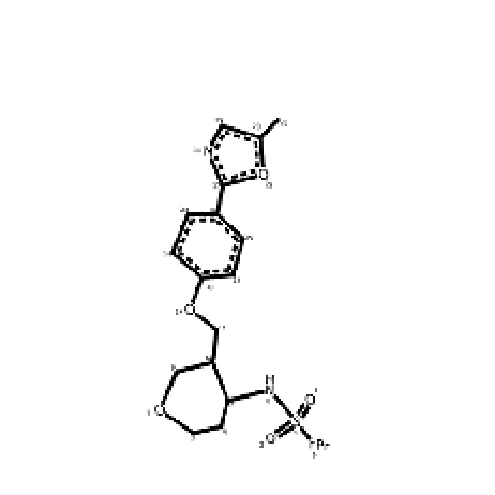 CCCS(=O)(=O)NC1CCOCC1COc1ccc(-c2ncc(C)o2)cc1